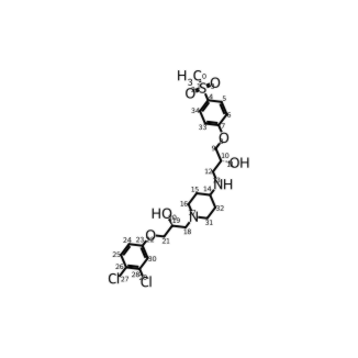 CS(=O)(=O)c1ccc(OC[C@H](O)CNC2CCN(C[C@H](O)COc3ccc(Cl)c(Cl)c3)CC2)cc1